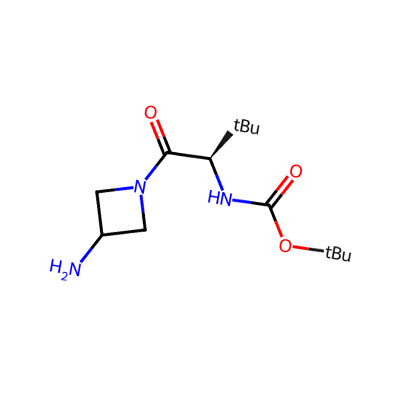 CC(C)(C)OC(=O)N[C@@H](C(=O)N1CC(N)C1)C(C)(C)C